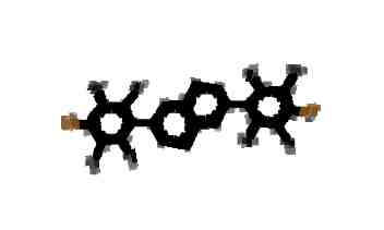 [2H]c1c([2H])c(-c2ccc3cc(-c4c([2H])c([2H])c(Br)c([2H])c4[2H])ccc3c2)c([2H])c([2H])c1Br